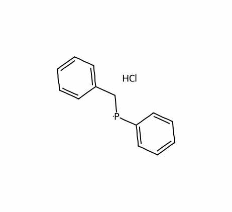 Cl.c1ccc(C[P]c2ccccc2)cc1